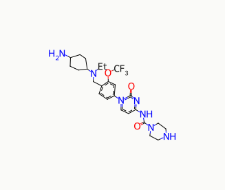 CCN(Cc1ccc(-n2ccc(NC(=O)N3CCNCC3)nc2=O)cc1OC(F)(F)F)C1CCC(N)CC1